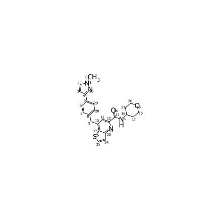 Cn1ccc(-c2ccc(Cc3cc(C(=O)NC4CCOCC4)nc4ccsc34)cc2)n1